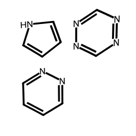 c1cc[nH]c1.c1ccnnc1.c1nncnn1